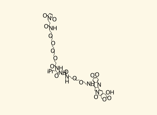 CC(C)C(NC(=O)CCOCCOCCOCCOCCNC(=O)CCN1C(=O)C=CC1=O)C(=O)NCC(=O)NCCOCCOCCNCc1c2c(nc3cc4c(cc13)OCO4)-c1cc3c(c(=O)n1C2)COC(=O)[C@H]3O